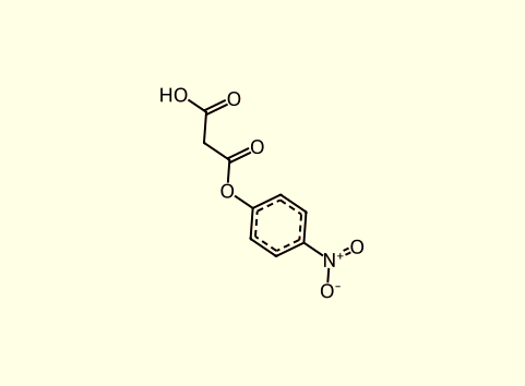 O=C(O)CC(=O)Oc1ccc([N+](=O)[O-])cc1